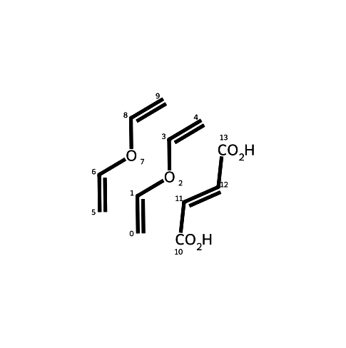 C=COC=C.C=COC=C.O=C(O)/C=C/C(=O)O